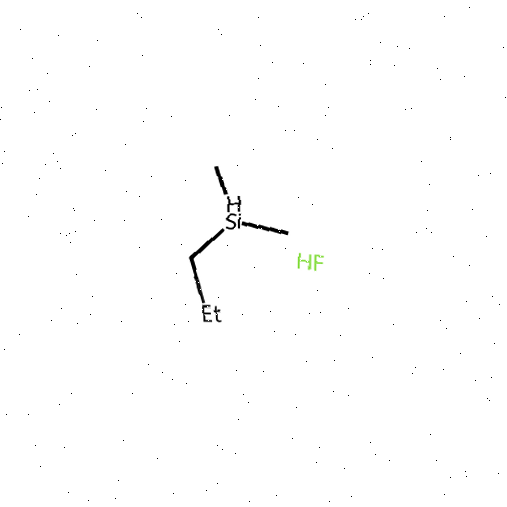 CCC[SiH](C)C.F